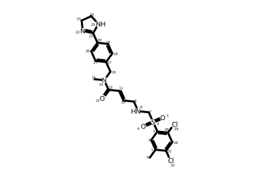 Cc1cc(S(=O)(=O)CNCC=CC(=O)N(C)Cc2ccc(C3=NCCN3)cc2)c(Cl)cc1Cl